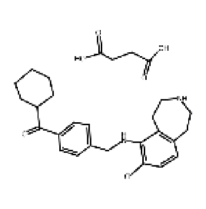 O=C(O)CCC(=O)O.O=C(c1ccc(CNc2c(Cl)ccc3c2CCNCC3)cc1)C1CCCCC1